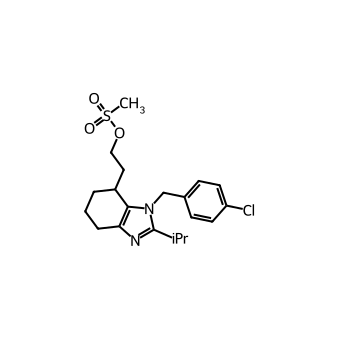 CC(C)c1nc2c(n1Cc1ccc(Cl)cc1)C(CCOS(C)(=O)=O)CCC2